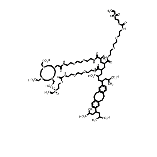 C=CS(=O)(=O)CCOC(=O)NCCOCCOCCNC(=O)C(CC(C)C(=O)NCCOCCOCCNC(=O)CN1CCN(CC(=O)O)CCN(CC(=O)O)CCN(CC(=O)O)CC1)CC(CC(CC(CC(C)C(=O)O)c1ccc2c(c1)CCc1ccc(C(CC(C)C(=O)O)CC(C)C(=O)O)cc1CC2)C(=O)O)C(=O)NCCOCCOCCNC(=O)OCCS(=O)(=O)C=C